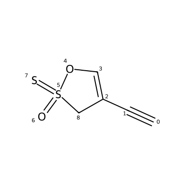 C#CC1=COS(=O)(=S)C1